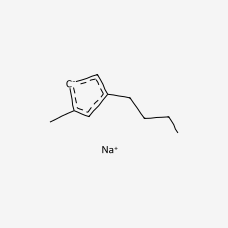 CCCCc1c[cH-]c(C)c1.[Na+]